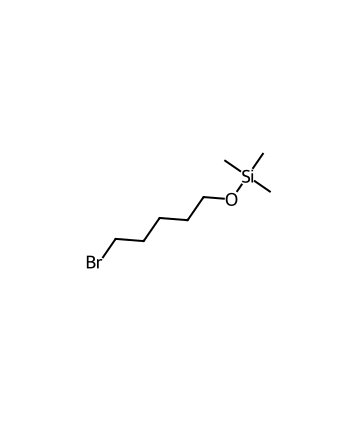 C[Si](C)(C)OCCCCCBr